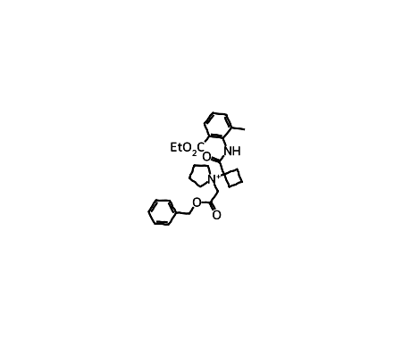 CCOC(=O)c1cccc(C)c1NC(=O)C1([N+]2(CC(=O)OCc3ccccc3)CCCC2)CCC1